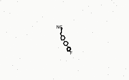 N#C/C=C/C=C/C1CCC([C@H]2CC[C@H](c3ccc(F)cc3)CC2)CC1